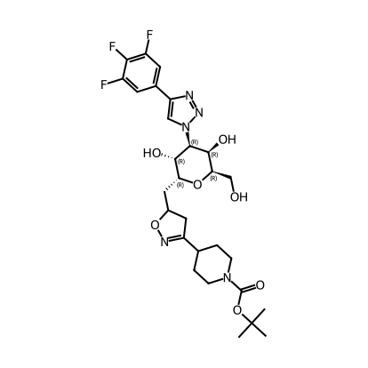 CC(C)(C)OC(=O)N1CCC(C2=NOC(C[C@H]3O[C@H](CO)[C@H](O)[C@H](n4cc(-c5cc(F)c(F)c(F)c5)nn4)[C@H]3O)C2)CC1